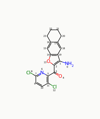 Nc1c(C(=O)c2nc(Cl)ccc2Cl)oc2cc3c(cc12)CCCC3